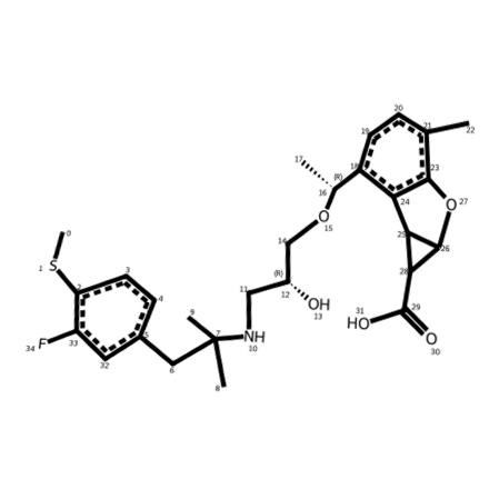 CSc1ccc(CC(C)(C)NC[C@@H](O)CO[C@H](C)c2ccc(C)c3c2C2C(O3)C2C(=O)O)cc1F